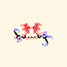 NCC#CC1=CN([C@H]2CC(OCSCSCOC3C[C@H](n4cc(C#CCN)c(=O)[nH]c4=O)O[C@@H]3COP(=O)(O)OP(=O)(O)OP(=O)(O)O)[C@@H](COP(=O)(O)OP(=O)(O)OP(=O)(O)O)O2)C(=O)NC1N